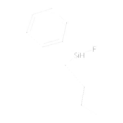 CCCC[SiH](F)c1ccccc1